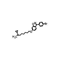 CN(CCCCCCOc1ccc2c(-c3ccc(Br)cc3)noc2c1)C1CC1